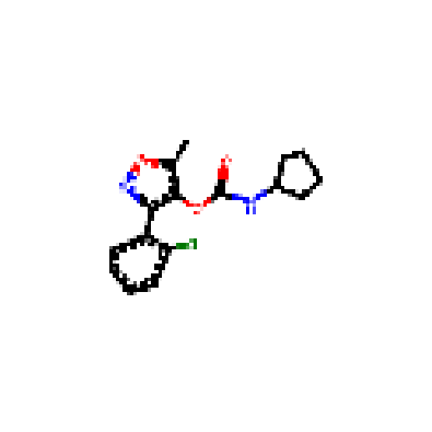 Cc1onc(-c2ccccc2Cl)c1OC(=O)NC1CCCC1